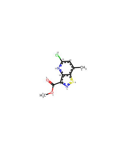 COC(=O)c1nsc2c(C)cc(Cl)nc12